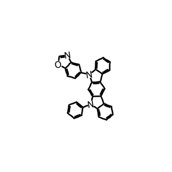 c1ccc(-n2c3ccccc3c3cc4c5ccccc5n(-c5ccc6ocnc6c5)c4cc32)cc1